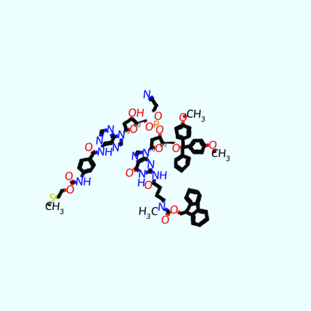 COc1ccc(C(OC[C@H]2O[C@@H](n3cnc4c(=O)[nH]c(NC(=O)CCCN(C)C(=O)OCC5c6ccccc6-c6ccccc65)nc43)CC2OP(OCCC#N)OC[C@H]2O[C@@H](n3cnc4c(NC(=O)c5ccc(NC(=O)OCCSC)cc5)ncnc43)CC2O)(c2ccccc2)c2ccc(OC)cc2)cc1